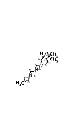 CN1CC(N2CC(N3CC(N4CCC(C(C)(C)C)CC4)C3)C2)C1